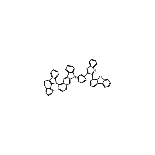 c1cc(-c2nc3ccccc3nc2-c2cccc3c2oc2ccccc23)cc(-n2c3ccccc3c3cc4c(-n5c6ccccc6c6ccc7ccccc7c65)cccc4cc32)c1